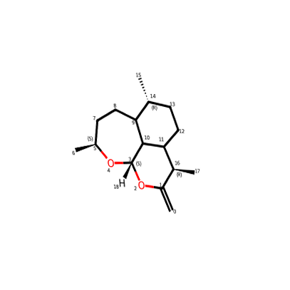 C=C1O[C@@H]2O[C@@H](C)CCC3C2C(CC[C@H]3C)[C@H]1C